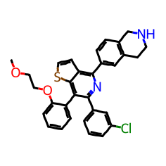 COCCOc1ccccc1-c1c(-c2cccc(Cl)c2)nc(-c2ccc3c(c2)CCNC3)c2ccsc12